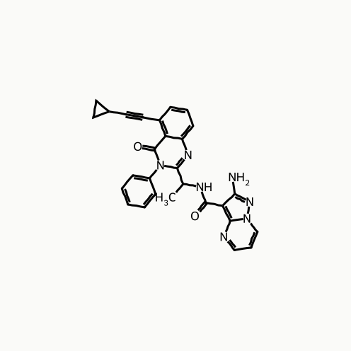 CC(NC(=O)c1c(N)nn2cccnc12)c1nc2cccc(C#CC3CC3)c2c(=O)n1-c1ccccc1